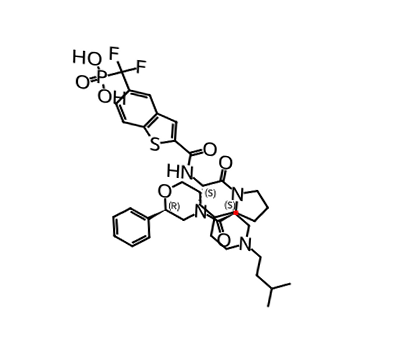 CC(C)CCN1CCC(C[C@H](NC(=O)c2cc3cc(C(F)(F)P(=O)(O)O)ccc3s2)C(=O)N2CCC[C@H]2C(=O)N2CCO[C@H](c3ccccc3)C2)CC1